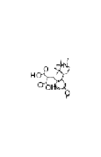 COc1ccc(C=C(C(=O)O)C(=O)O)c(C2CCN(C)C(C)(C)C2(C)C)c1